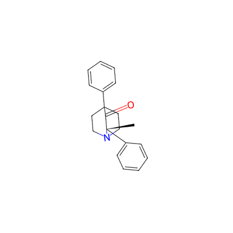 C[C@]1(c2ccccc2)C(=O)C2(c3ccccc3)CCN1CC2